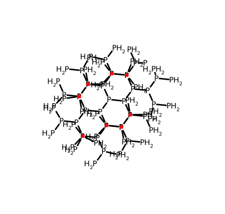 PP(P)P(P)P(P(P)P)P(P(P(P(P)P)P(P)P)P(P(P)P)P(P)P)P(P(P(P(P)P)P(P)P)P(P(P)P)P(P)P)P(P(P(P(P)P)P(P)P)P(P(P)P)P(P)P)P(P(P(P)P)P(P)P)P(P(P)P)P(P)P